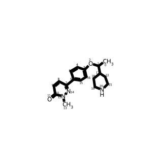 CC(Oc1ccc(-c2ccc(=O)n(C)n2)cc1)C1CCNCC1